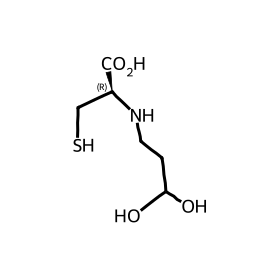 O=C(O)[C@H](CS)NCCC(O)O